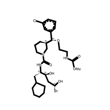 COC(=O)NCCO[C@@H](c1cccc(Cl)c1)[C@@H]1CCCN(C(=O)N[C@@H](CC2CCCCC2)[C@@H](O)C[C@H](O)C(C)C)C1